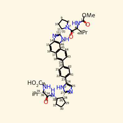 COC(=O)N[C@H](C(=O)N1CCC[C@H]1c1nc2ccc3cc(-c4ccc(-c5cnc([C@@H]6CCC[C@@H]6NC(=O)[C@@H](NC(=O)O)C(C)C)[nH]5)cc4)ccc3c2[nH]1)C(C)C